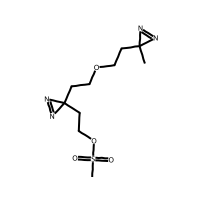 CC1(CCOCCC2(CCOS(C)(=O)=O)N=N2)N=N1